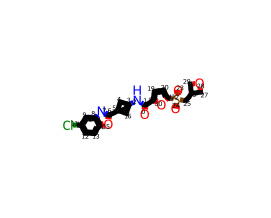 O=C(NC12CC(c3nc4cc(Cl)ccc4o3)(C1)C2)c1ccc(S(=O)(=O)CC2COC2)o1